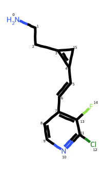 NCCC1=C(/C=C/c2ccnc(Cl)c2F)C1